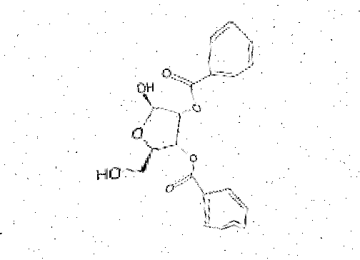 O=C(O[C@@H]1[C@H](OC(=O)c2ccccc2)[C@@H](CO)O[C@H]1O)c1ccccc1